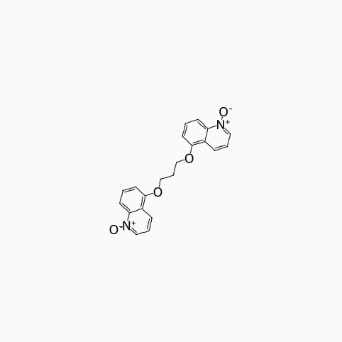 [O-][n+]1cccc2c(OCCCOc3cccc4c3ccc[n+]4[O-])cccc21